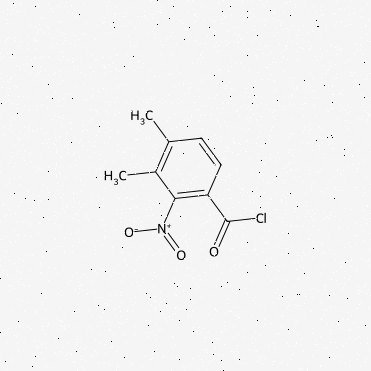 Cc1ccc(C(=O)Cl)c([N+](=O)[O-])c1C